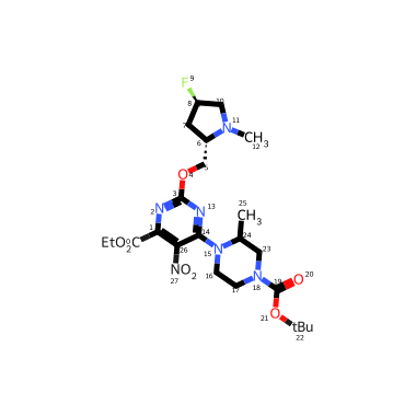 CCOC(=O)c1nc(OC[C@@H]2C[C@@H](F)CN2C)nc(N2CCN(C(=O)OC(C)(C)C)CC2C)c1[N+](=O)[O-]